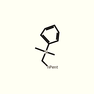 [CH2]CCCCC[Si](C)(C)c1ccccc1